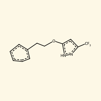 FC(F)(F)c1cc(OCCc2ccccc2)[nH]n1